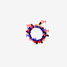 C/C=C/C[C@@H](C)[C@@H](O)[C@H]1C(=O)N[C@@H](CC)C(=O)N(C)[C@@H](CSCCCO)C(=O)N(C)[C@@H](CC(C)(C)O)C(=O)N[C@@H](C(C)C)C(=O)N(C)[C@@H](CC(C)C)C(=O)N[C@@H](C)C(=O)N[C@H](C)C(=O)N(C)[C@@H](CC(C)C)C(=O)N(C)[C@@H](CC(C)C)C(=O)N(C)[C@@H](C(C)C)C(=O)N1C